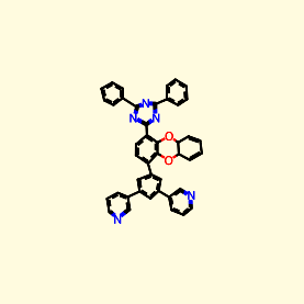 C1=CC2Oc3c(-c4cc(-c5cccnc5)cc(-c5cccnc5)c4)ccc(-c4nc(-c5ccccc5)nc(-c5ccccc5)n4)c3OC2C=C1